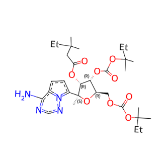 CCC(C)(C)CC(=O)O[C@@H]1[C@H](OC(=O)OC(C)(C)CC)[C@@H](COC(=O)OC(C)(C)CC)O[C@@]1(C)c1ccc2c(N)ncnn12